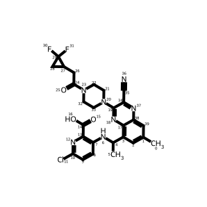 Cc1cc(C(C)Nc2ccc(Cl)nc2C(=O)O)c2nc(N3CCN(C(=O)CC4CC4(F)F)CC3)c(C#N)nc2c1